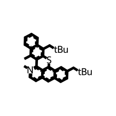 Cc1c2c(c(CC(C)(C)C)c3ccccc13)Sc1c3cc(CC(C)(C)C)ccc3cc3cc[n+](C)c-2c13